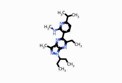 CCc1nc2c(nc1-c1ccc(C(C)C)nc1NC)c(C)nn2C(CC)CC